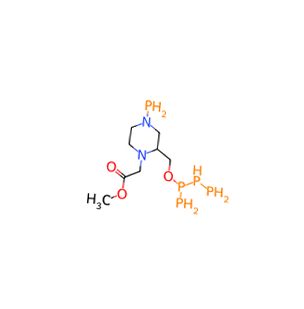 COC(=O)CN1CCN(P)CC1COP(P)PP